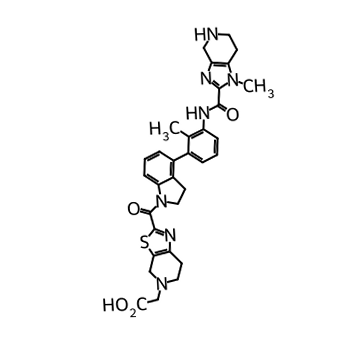 Cc1c(NC(=O)c2nc3c(n2C)CCNC3)cccc1-c1cccc2c1CCN2C(=O)c1nc2c(s1)CN(CC(=O)O)CC2